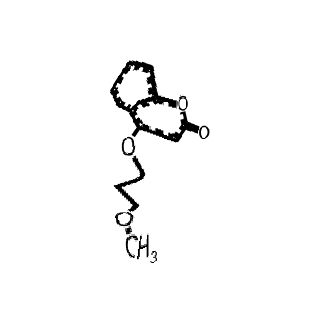 COCCCOc1cc(=O)oc2ccccc12